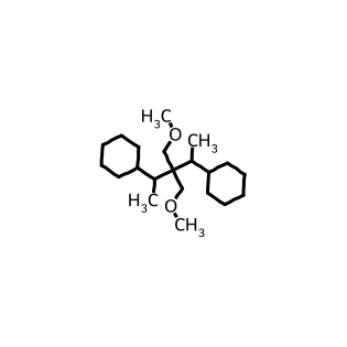 COCC(COC)(C(C)C1CCCCC1)C(C)C1CCCCC1